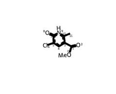 COC(=O)c1cc(Cl)c(=O)[nH]c1C